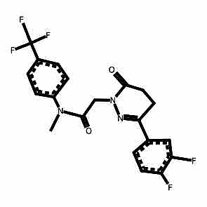 CN(C(=O)CN1N=C(c2ccc(F)c(F)c2)CCC1=O)c1ccc(C(F)(F)F)cc1